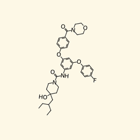 CCC(CC)CC1(O)CCN(C(=O)Nc2cc(Oc3ccc(F)cc3)cc(Oc3ccc(C(=O)N4CCOCC4)cc3)c2)CC1